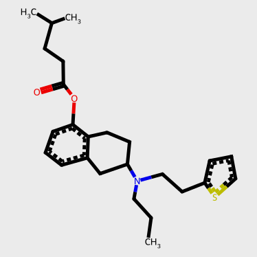 CCCN(CCc1cccs1)C1CCc2c(cccc2OC(=O)CCC(C)C)C1